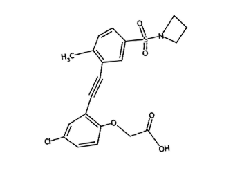 Cc1ccc(S(=O)(=O)N2CCC2)cc1C#Cc1cc(Cl)ccc1OCC(=O)O